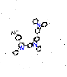 N#Cc1ccc(-c2cc(-c3ccccc3)nc(-c3ccc4c(c3)c3cc(-c5ccc6c(c5)c5ccccc5n6-c5ccccc5)ccc3n4-c3ccccc3)c2)cc1